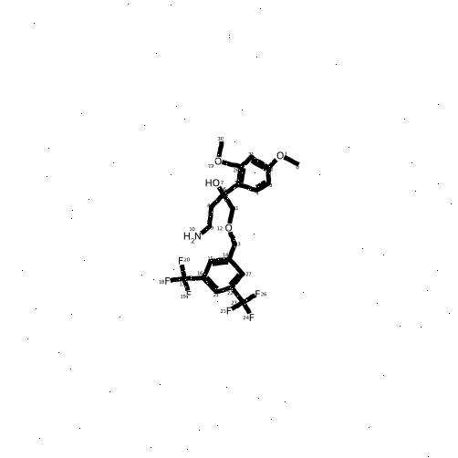 COc1ccc(C(O)(CCN)COCc2cc(C(F)(F)F)cc(C(F)(F)F)c2)c(OC)c1